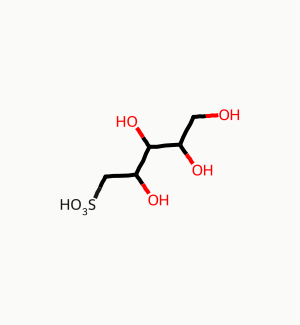 O=S(=O)(O)CC(O)C(O)C(O)CO